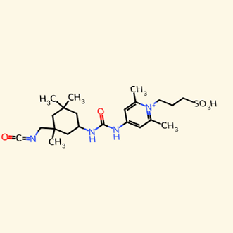 Cc1cc(NC(=O)NC2CC(C)(C)CC(C)(CN=C=O)C2)cc(C)[n+]1CCCS(=O)(=O)O